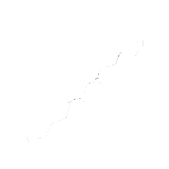 OCCCCSSSCCCCO